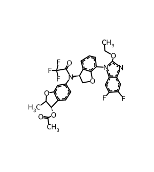 CCOc1nc2cc(F)c(F)cc2n1-c1cccc2c1OC[C@H]2N(C(=O)C(F)(F)F)c1ccc2c(c1)OC(C)[C@H]2OC(C)=O